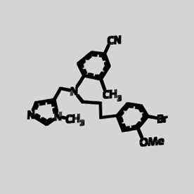 COc1cc(CCCN(Cc2cncn2C)c2ccc(C#N)cc2C)ccc1Br